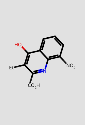 CCc1c(C(=O)O)nc2c([N+](=O)[O-])cccc2c1O